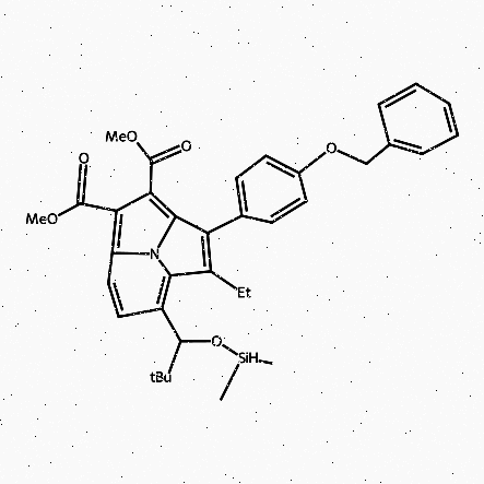 CCc1c(-c2ccc(OCc3ccccc3)cc2)c2c(C(=O)OC)c(C(=O)OC)c3ccc(C(O[SiH](C)C)C(C)(C)C)c1n32